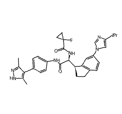 Cc1n[nH]c(C)c1-c1ccc(NC(=O)[C@@H](NC(=O)C2(F)CC2)[C@@H]2CCc3ccc(-n4cnc(C(C)C)c4)cc32)cc1